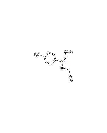 C#CCN/C(=C/C(=O)OCC)c1ccc(C(F)(F)F)nc1